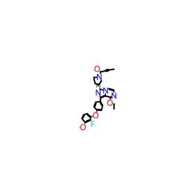 CC#CC(=O)N1CC[C@@H](c2nc(-c3ccc(Oc4cccc(OC)c4F)cc3)c3c(OCC)nccn23)C1